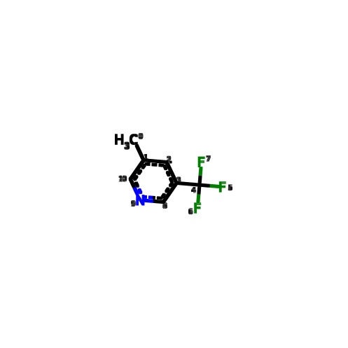 Cc1[c]c(C(F)(F)F)cnc1